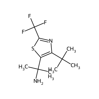 CC(C)(C)c1nc(C(F)(F)F)sc1C(C)(C)N